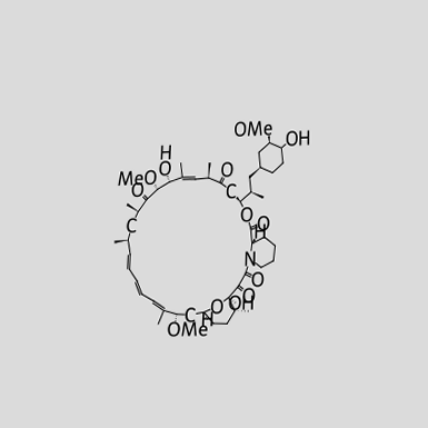 CO[C@H]1C[C@@H]2CC[C@@H](C)[C@@](O)(O2)C(=O)C(=O)N2CCCC[C@H]2C(=O)O[C@H]([C@H](C)C[C@@H]2CCC(O)[C@H](OC)C2)CC(=O)[C@H](C)/C=C(\C)[C@@H](O)[C@@H](OC)C(=O)[C@H](C)C[C@H](C)/C=C/C=C/C=C/1C